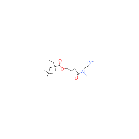 CCC(C)(CC(C)(C)C)C(=O)OCCCC(=O)N(C)CCNC